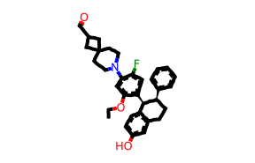 CCOc1cc(N2CCC3(CC2)CC(C=O)C3)c(F)cc1[C@@H]1c2ccc(O)cc2CC[C@@H]1c1ccccc1